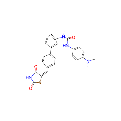 CN(C)c1ccc(NC(=O)N(C)c2cccc(-c3ccc(/C=C4/SC(=O)NC4=O)cc3)c2)cc1